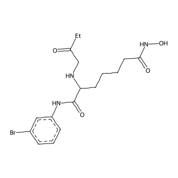 CCC(=O)CNC(CCCCC(=O)NO)C(=O)Nc1cccc(Br)c1